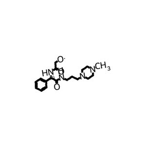 CN1CCN(CCCNC(=O)[C@H](NC(=O)C[O])c2ccccc2)CC1